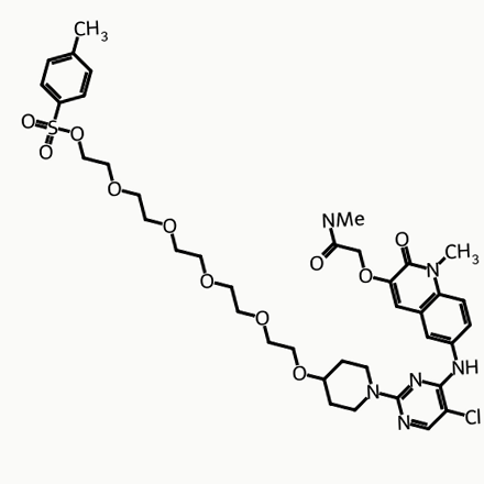 CNC(=O)COc1cc2cc(Nc3nc(N4CCC(OCCOCCOCCOCCOCCOS(=O)(=O)c5ccc(C)cc5)CC4)ncc3Cl)ccc2n(C)c1=O